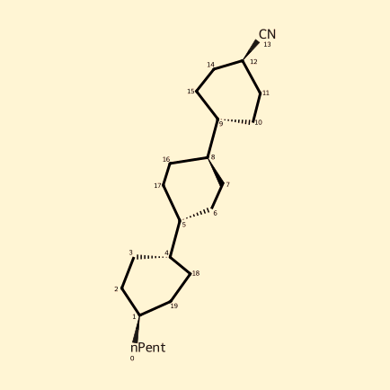 CCCCC[C@H]1CC[C@H]([C@H]2CC[C@H]([C@H]3CC[C@H](C#N)CC3)CC2)CC1